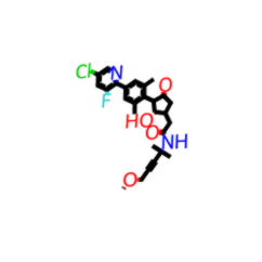 COCC#CC(C)(C)NC(=O)CC1CC(=O)C(c2c(C)cc(-c3ncc(Cl)cc3F)cc2C)C1O